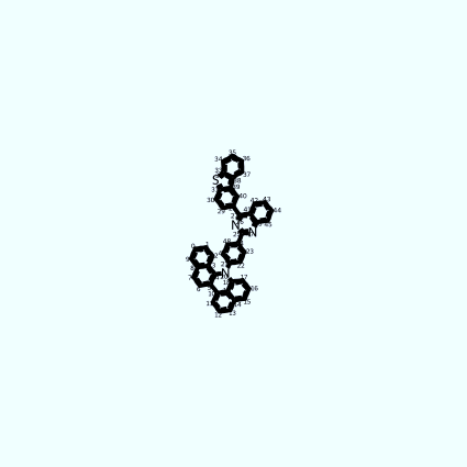 c1ccc2c3c(ccc2c1)-c1cccc2cccc(c12)N3c1ccc(-c2nc(-c3ccc4sc5ccccc5c4c3)c3ccccc3n2)cc1